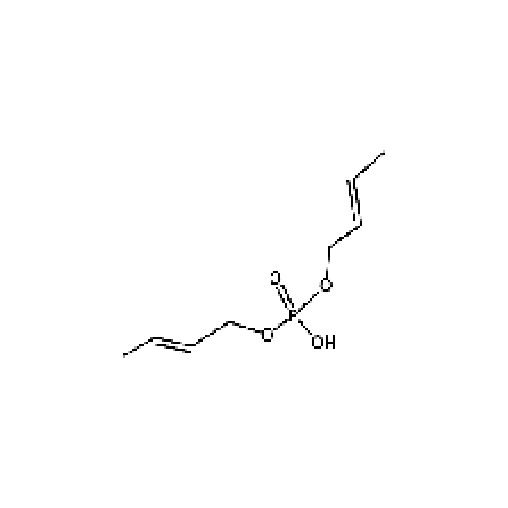 CC=CCOP(=O)(O)OCC=CC